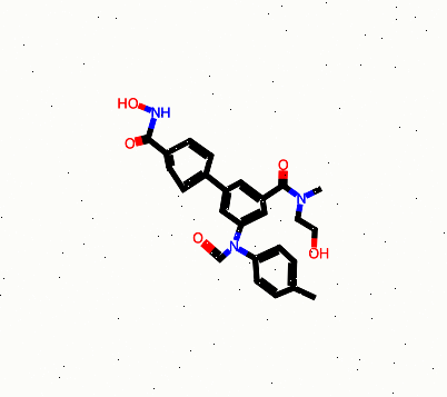 Cc1ccc(N(C=O)c2cc(C(=O)N(C)CCO)cc(-c3ccc(C(=O)NO)cc3)c2)cc1